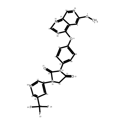 COc1cc2c(Oc3ccc(N4C(=O)CN(c5cncc(C(F)(F)F)c5)C4=O)cc3)ncnc2cn1